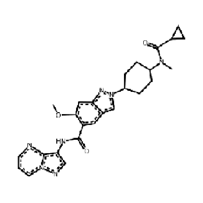 COc1cc2nn(C3CCC(N(C)C(=O)C4CC4)CC3)cc2cc1C(=O)Nc1cnn2cccnc12